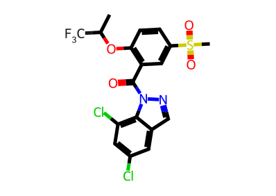 CC(Oc1ccc(S(C)(=O)=O)cc1C(=O)n1ncc2cc(Cl)cc(Cl)c21)C(F)(F)F